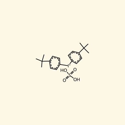 CC(C)(C)c1ccc([I+]c2ccc(C(C)(C)C)cc2)cc1.O=S(=O)(O)O